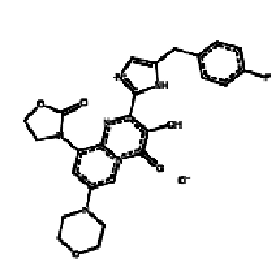 O=C1OCCN1c1cc(N2CCOCC2)cn2c(=O)c(O)c(C3=[N+]C=C(Cc4ccc(F)cc4)N3)nc12.[Cl-]